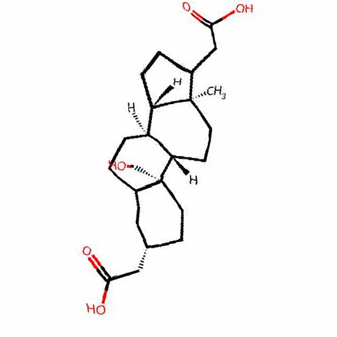 C[C@]12CC[C@H]3[C@@H](CCC4C[C@@H](CC(=O)O)CC[C@@]43CO)[C@@H]1CCC2CC(=O)O